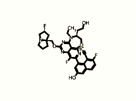 C#Cc1c(F)ccc2cc(O)cc(-c3nc4c5c(nc(OC[C@@]67CCCN6C[C@H](F)C7)nc5c3F)N(CC)[C@@H](CCO)CO4)c12